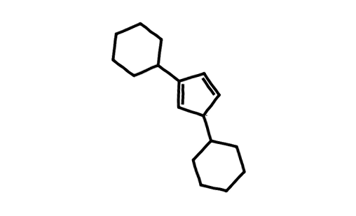 C1=CC(C2CCCCC2)=C[C]1C1CCCCC1